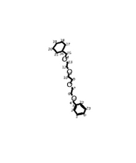 c1ccc(COCCOCCOCCOCC2CCCCC2)cc1